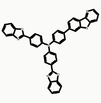 c1ccc2oc(-c3ccc(N(c4ccc(-c5ccc6c(c5)sc5cccnc56)cc4)c4ccc(-c5nc6ccccc6o5)cc4)cc3)nc2c1